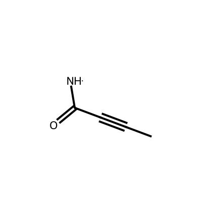 CC#CC([NH])=O